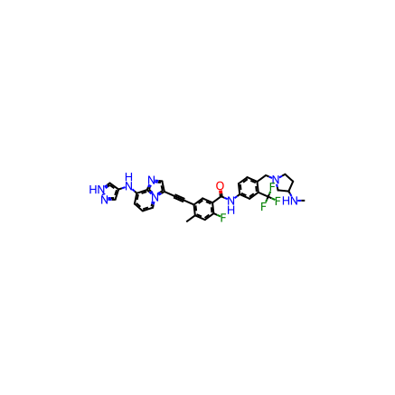 CNC1CCN(Cc2ccc(NC(=O)c3cc(C#Cc4cnc5c(Nc6cn[nH]c6)cccn45)c(C)cc3F)cc2C(F)(F)F)C1